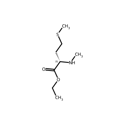 CCOC(=O)[C@H](CCSC)NC